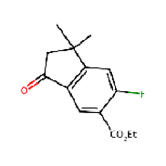 CCOC(=O)c1cc2c(cc1F)C(C)(C)CC2=O